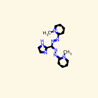 Cn1cccc/c1=N/N=C(/N=N/c1cccc[n+]1C)c1ncc[nH]1